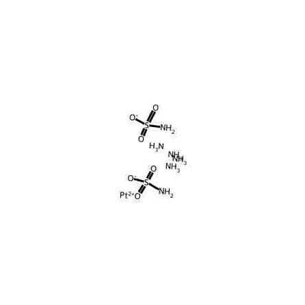 N.N.N.N.NS(=O)(=O)[O-].NS(=O)(=O)[O-].[Pt+2]